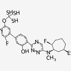 CC[C@@H]1CCC[C@H](F)[C@H](N(C)c2cnc(-c3ccc(-c4cc(OC(S)(S)S)ncc4F)cc3O)nn2)C1